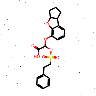 O=C(O)C(Oc1cccc2c1OC1CCCC21)OS(=O)(=O)CCc1ccccc1